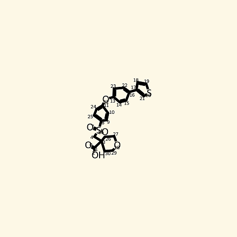 O=C(O)C1(CS(=O)(=O)c2ccc(Oc3ccc(-c4ccsc4)cc3)cc2)CCOCC1